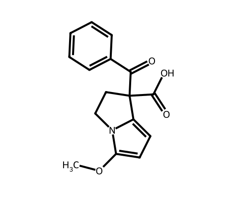 COc1ccc2n1CCC2(C(=O)O)C(=O)c1ccccc1